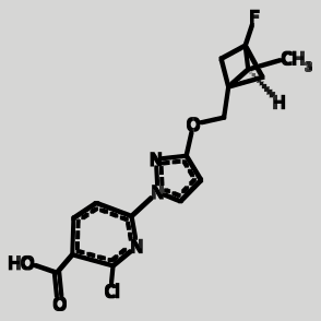 C[C@@H]1C2(F)CC1(COc1ccn(-c3ccc(C(=O)O)c(Cl)n3)n1)C2